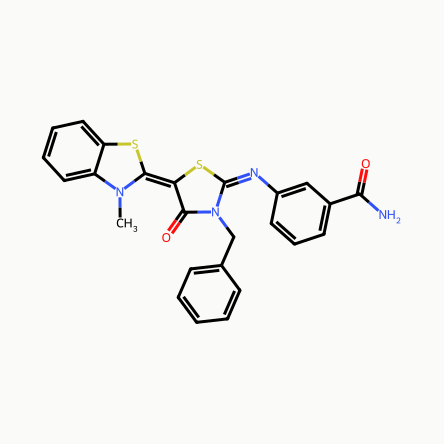 CN1/C(=C2/SC(=Nc3cccc(C(N)=O)c3)N(Cc3ccccc3)C2=O)Sc2ccccc21